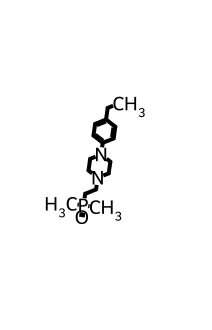 CCc1ccc(N2CCN(CCP(C)(C)=O)CC2)cc1